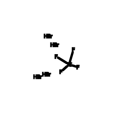 Br.Br.Br.Br.[F][Ni]([F])([F])[F]